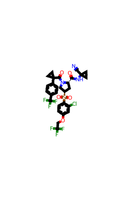 N#CC1(NC(=O)[C@@H]2C[C@@H](S(=O)(=O)c3ccc(OCC(F)(F)F)cc3Cl)CN2C(=O)C2(c3ccc(C(F)(F)F)cc3)CC2)CC1